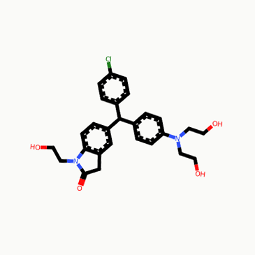 O=C1Cc2cc(C(c3ccc(Cl)cc3)c3ccc(N(CCO)CCO)cc3)ccc2N1CCO